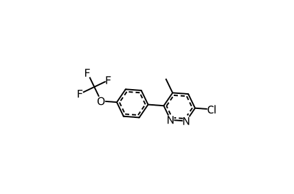 Cc1cc(Cl)nnc1-c1ccc(OC(F)(F)F)cc1